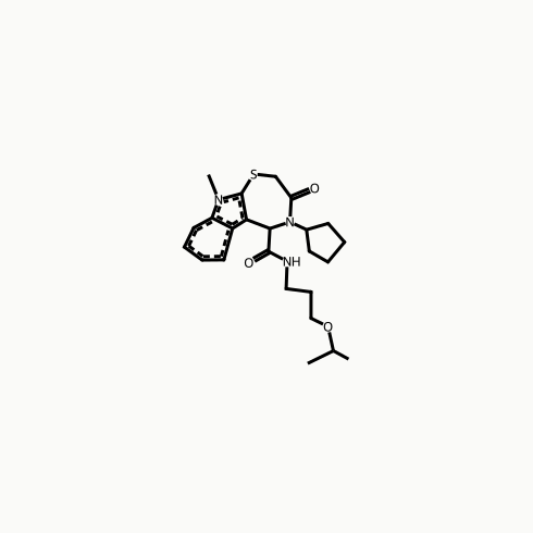 CC(C)OCCCNC(=O)C1c2c(n(C)c3ccccc23)SCC(=O)N1C1CCCC1